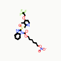 Cc1c(OCC(F)(F)F)ccnc1C[S+]([O-])c1nc2ccccc2n1C(=O)OCCCCCCO[N+](=O)[O-]